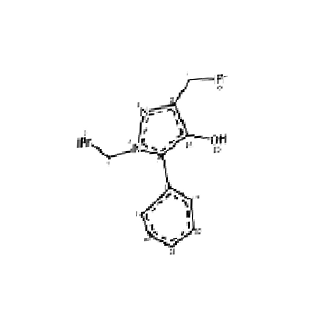 CC(C)Cc1nn(CC(C)C)c(-c2ccccc2)c1O